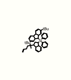 C=CCCC(C)(C)C1CC([Si](c2ccccc2)(c2ccccc2)C2C3C=C(C(C)(C)C)C=CC3C3C=CC(C(C)(C)C)=CC32)C2C=CC=CC21